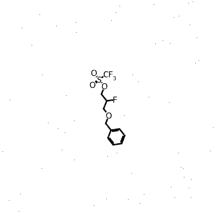 O=S(=O)(OCC(F)COCc1ccccc1)C(F)(F)F